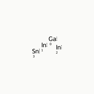 [Ga].[In].[In].[Sn]